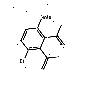 C=C(C)c1c(CC)ccc(NC)c1C(=C)C